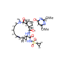 COc1cc(O[C@@H]2C[C@H]3C(=O)N[C@]4(C(=O)NS(=O)(=O)C5CC5)C[C@H]4/C=C\CCCCN(C)C(=O)[C@@H]3C2)nc(OC)n1